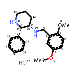 COc1ccc(OSC)cc1CN[C@H]1CCCN[C@H]1c1ccccc1.Cl